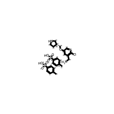 Cc1ccc(S(=O)(=O)O)cc1.Cc1ccc(S(=O)(=O)O)cc1.NCc1cc(OC[C@@H]2CCNC2)cnc1Cl